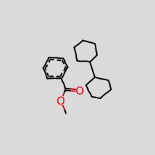 C1CCC(C2CCCCC2)CC1.COC(=O)c1ccccc1